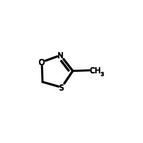 CC1=NOCS1